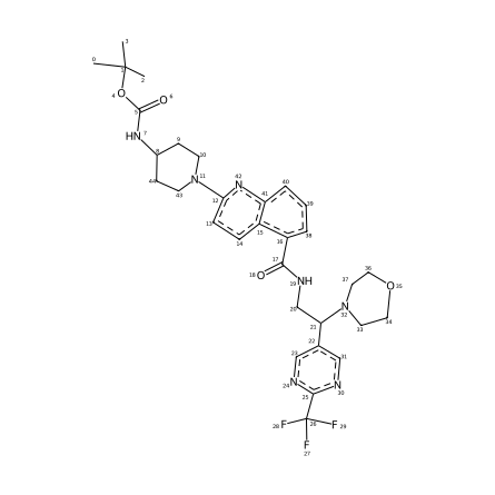 CC(C)(C)OC(=O)NC1CCN(c2ccc3c(C(=O)NCC(c4cnc(C(F)(F)F)nc4)N4CCOCC4)cccc3n2)CC1